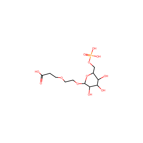 O=C(O)CCOCCOC1OC(COP(=O)(O)O)C(O)C(O)C1O